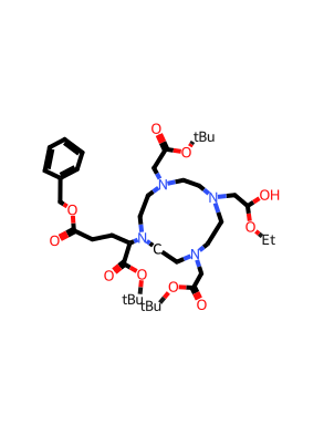 CCOC(O)CN1CCN(CC(=O)OC(C)(C)C)CCN(C(CCC(=O)OCc2ccccc2)C(=O)OC(C)(C)C)CCN(CC(=O)OC(C)(C)C)CC1